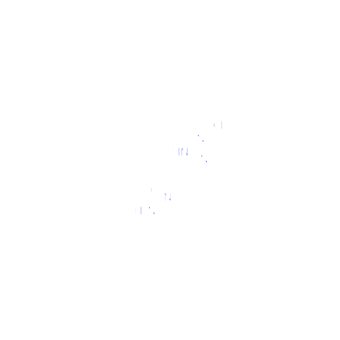 NC1=Nc2ccc(Nc3nccc(C(F)(F)F)n3)cc2[C@@H](C2CCc3ccccc32)O1